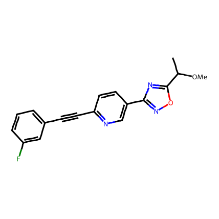 COC(C)c1nc(-c2ccc(C#Cc3cccc(F)c3)nc2)no1